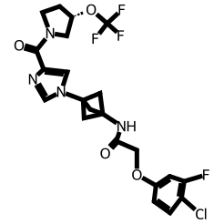 O=C(COc1ccc(Cl)c(F)c1)NC12CC(n3cnc(C(=O)N4CC[C@H](OC(F)(F)F)C4)c3)(C1)C2